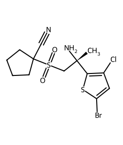 C[C@](N)(CS(=O)(=O)C1(C#N)CCCC1)c1sc(Br)cc1Cl